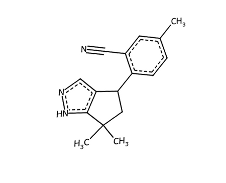 Cc1ccc(C2CC(C)(C)c3[nH]ncc32)c(C#N)c1